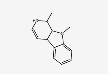 CC1NC=CC2c3ccccc3N(C)C12